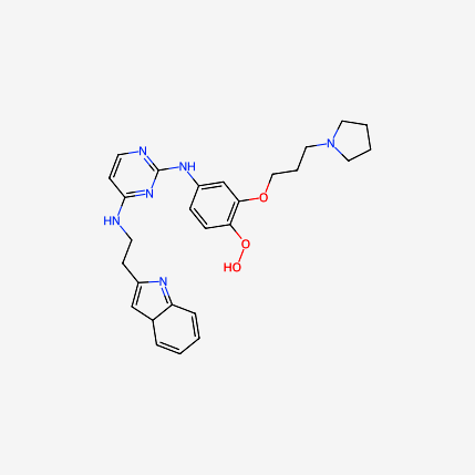 OOc1ccc(Nc2nccc(NCCC3=CC4C=CC=CC4=N3)n2)cc1OCCCN1CCCC1